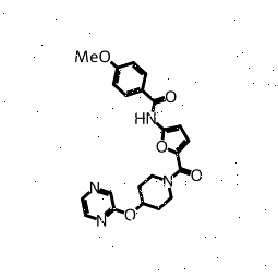 COc1ccc(C(=O)Nc2ccc(C(=O)N3CCC(Oc4cnccn4)CC3)o2)cc1